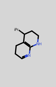 CC(C)C1CCNC2=C1CCC=N2